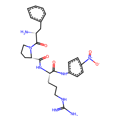 N=C(N)NCCC[C@H](NC(=O)[C@@H]1CCCN1C(=O)[C@H](N)Cc1ccccc1)C(=O)Nc1ccc([N+](=O)[O-])cc1